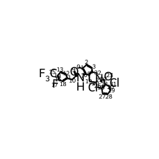 Cc1ccc2c(c1NC(=O)Cc1ccc(C(F)(F)F)c(F)c1)CCN(C(=O)c1c(Cl)cccc1Cl)C2